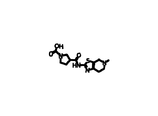 CN1CCc2nc(NC(=O)C3CCN(C(=O)O)C3)sc2C1